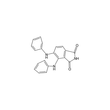 O=C1NC(=O)c2c1ccc(Nc1ccccc1)c2Nc1ccccc1